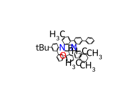 Cc1cc2c3c(c1)N(c1ccc(C(C)(C)C)cc1-c1ccccc1)c1oc4ccccc4c1B3N(c1ccc3c(c1)C(C)(C)CCC3(C)C)c1cc(-c3ccccc3)ccc1-2